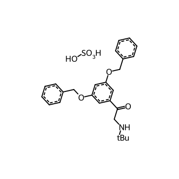 CC(C)(C)NCC(=O)c1cc(OCc2ccccc2)cc(OCc2ccccc2)c1.O=S(=O)(O)O